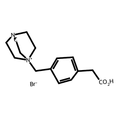 O=C(O)Cc1ccc(C[N+]23CCN(CC2)CC3)cc1.[Br-]